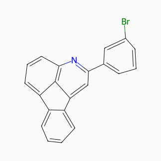 Brc1cccc(-c2cc3c4c(cccc4n2)-c2ccccc2-3)c1